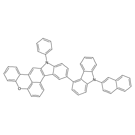 c1ccc(-n2c3ccc(-c4cccc5c4c4ccccc4n5-c4ccc5ccccc5c4)cc3c3c4cccc5c4c(cc32)-c2ccccc2O5)cc1